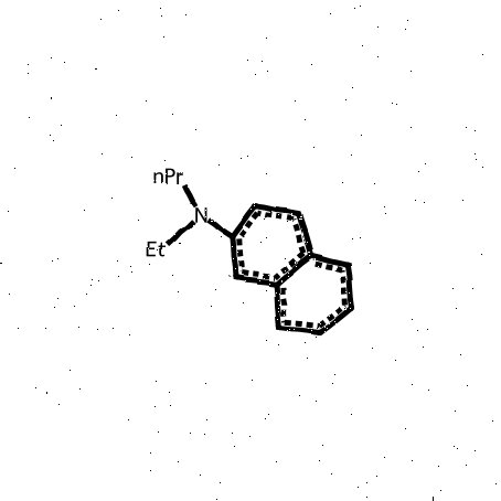 CCCN(CC)c1[c]c2ccccc2cc1